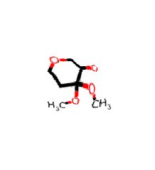 COC1(OC)CCOCC1=O